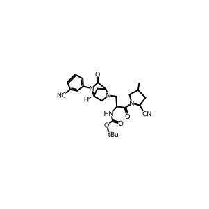 CC1CC(C#N)N(C(=O)C(CN2C[C@@H]3CC2C(=O)N3c2cccc(C#N)c2)NC(=O)OC(C)(C)C)C1